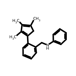 CC1=C(C)C(C)=C(c2ccccc2CNc2ccccc2)C1